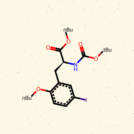 CCCCOC(=O)[C@H](Cc1cc(I)ccc1OCCCC)NC(=O)OC(C)(C)C